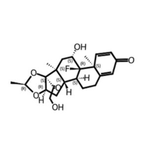 C[C@@H]1O[C@@H]2C[C@H]3[C@@H]4CCC5=CC(=O)C=C[C@]5(C)[C@@]4(F)[C@@H](O)C[C@]3(C)[C@]2(C(=O)CO)O1